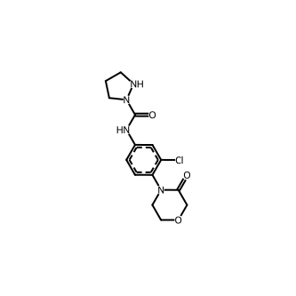 O=C(Nc1ccc(N2CCOCC2=O)c(Cl)c1)N1CCCN1